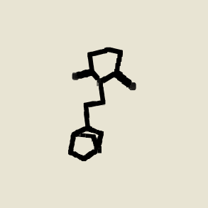 O=C1CCCC(=O)N1CCC1CN2CCC1C2